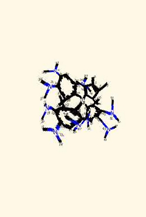 CC1=C(C)C(C)C([Si](c2c(N(C)C)cc(N(C)C)c(N(C)C)c2C)(c2c(N(C)C)cc(N(C)C)c(N(C)C)c2C)c2c(N(C)C)cc(N(C)C)c(N(C)C)c2C)=C1C